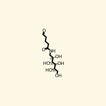 O=CCCCC(=O)NC[C@H](O)[C@@H](O)[C@H](O)[C@H](O)CO